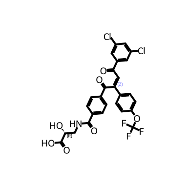 O=C(/C=C(\C(=O)c1ccc(C(=O)NC[C@@H](O)C(=O)O)cc1)c1ccc(OC(F)(F)F)cc1)c1cc(Cl)cc(Cl)c1